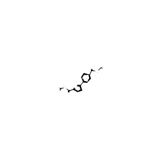 CCNC(=O)c1ccc(-c2ccc(C(=O)NC(C)C)s2)cc1